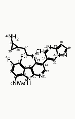 CNc1cc(F)c(F)c2c1[nH]c1ncc(-c3cnc4ccnn4c3)c(N(C)CCC3CC3N)c12